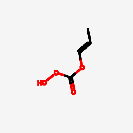 CC=COC(=O)OO